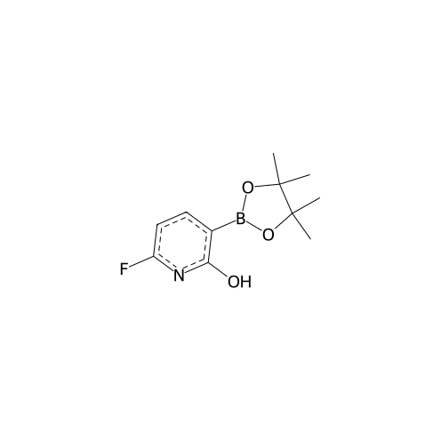 CC1(C)OB(c2ccc(F)nc2O)OC1(C)C